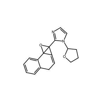 C1=C2C3(OC23c2nccn2C2CCCO2)c2ccccc2C1